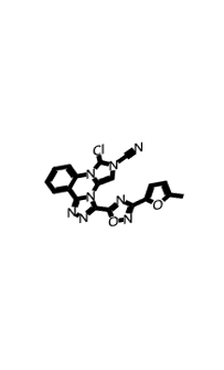 Cc1ccc(-c2noc(-c3nnc4n3C3=CN(C#N)C(Cl)N3c3ccccc3-4)n2)o1